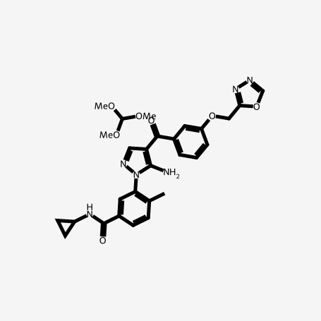 COC(OC)OC.Cc1ccc(C(=O)NC2CC2)cc1-n1ncc(C(=O)c2cccc(OCc3nnco3)c2)c1N